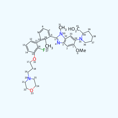 COc1cc2nc(-c3cccc(-c4cccc(OCCCN5CCOCC5)c4F)c3C)n(C)c2cc1N1CCCCC1C(=O)O